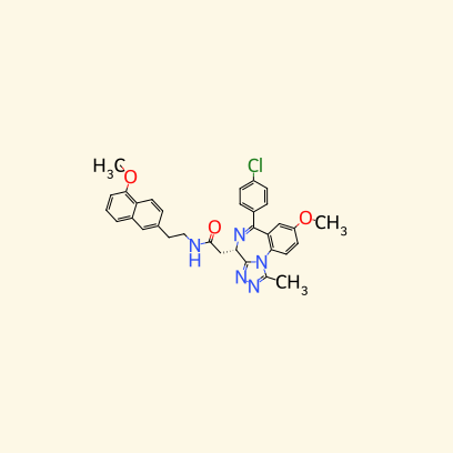 COc1ccc2c(c1)C(c1ccc(Cl)cc1)=N[C@@H](CC(=O)NCCc1ccc3c(OC)cccc3c1)c1nnc(C)n1-2